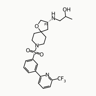 CC(O)CN[C@H]1COC2(CCN(S(=O)(=O)c3cccc(-c4cccc(C(F)(F)F)n4)c3)CC2)C1